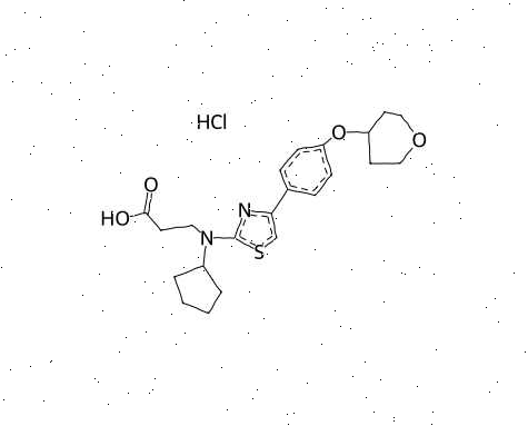 Cl.O=C(O)CCN(c1nc(-c2ccc(OC3CCOCC3)cc2)cs1)C1CCCC1